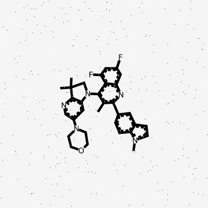 Cc1c(-c2ccc3c(ccn3C)c2)nc2cc(F)cc(F)c2c1N1CC(C)(C)c2ncc(N3CCOCC3)cc21